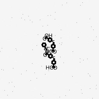 C[N+](C)(C)c1ccccc1.O=C(O)c1ccc(Sc2ccc(C(=O)O)cc2)cc1.O=C([O-])c1ccc(Sc2ccc(C(=O)O)cc2)cc1